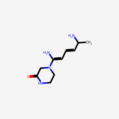 CC(N)C=C/C=C(\N)N1CCNC(=O)C1